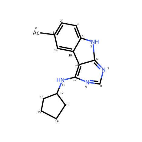 CC(=O)c1ccc2[nH]c3ncnc(NC4CCCC4)c3c2c1